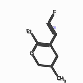 CCC1=C(/C=C/F)CC(C)CO1